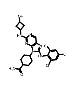 NC(=O)C1CCC(n2c(Nc3c(Cl)cc(Cl)cc3Cl)nc3cnc(NC4CC(O)C4)nc32)CC1